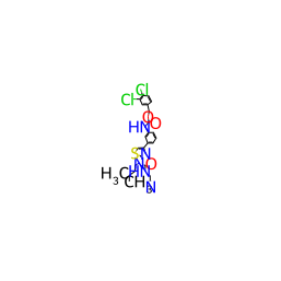 CC(C)CCN(C(=O)NCC#N)c1nc(-c2cccc(NC(=O)OCc3ccc(Cl)c(Cl)c3)c2)cs1